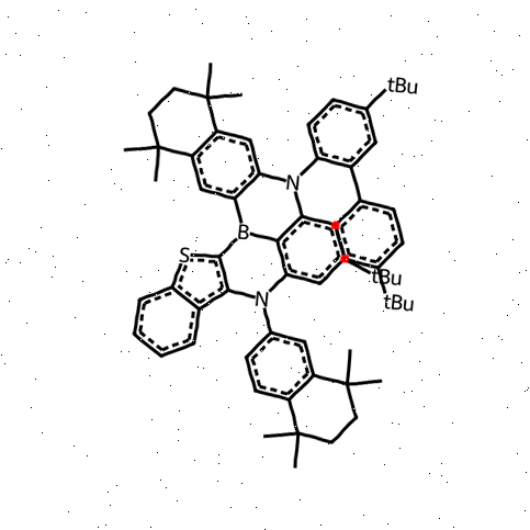 CC(C)(C)c1ccc(-c2cc(C(C)(C)C)ccc2N2c3cc4c(cc3B3c5sc6ccccc6c5N(c5ccc6c(c5)C(C)(C)CCC6(C)C)c5cc(C(C)(C)C)cc2c53)C(C)(C)CCC4(C)C)cc1